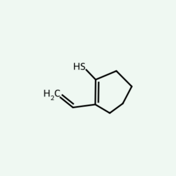 C=CC1=C(S)CCCC1